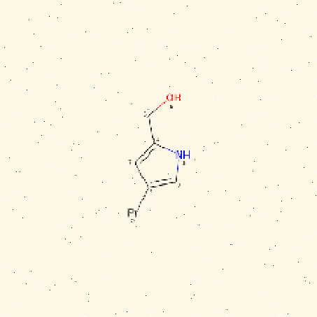 CC(C)c1c[nH]c(CO)c1